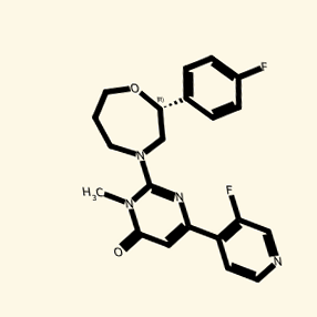 Cn1c(N2CCCO[C@H](c3ccc(F)cc3)C2)nc(-c2ccncc2F)cc1=O